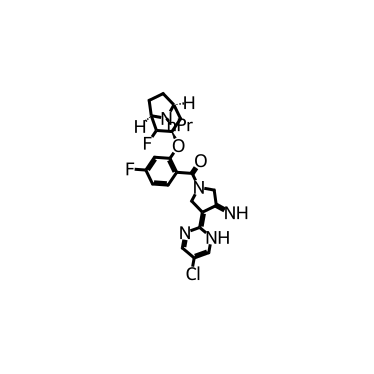 CCCN1[C@H]2CC[C@@H]1C(F)[C@H](Oc1cc(F)ccc1C(=O)N1CC(=N)/C(=C3/N=CC(Cl)=CN3)C1)C2